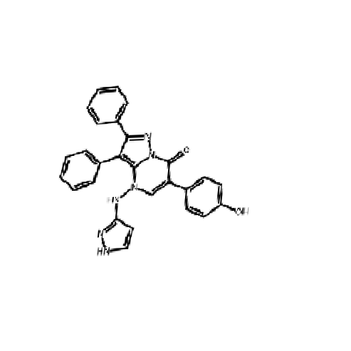 O=c1c(-c2ccc(O)cc2)cn(Nc2cc[nH]n2)c2c(-c3ccccc3)c(-c3ccccc3)nn12